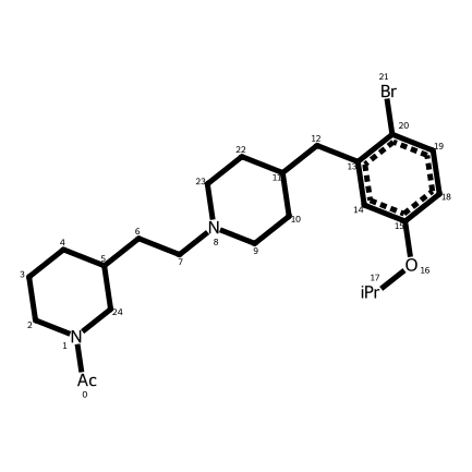 CC(=O)N1CCCC(CCN2CCC(Cc3cc(OC(C)C)ccc3Br)CC2)C1